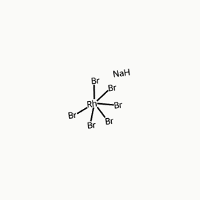 [Br][Rh]([Br])([Br])([Br])([Br])[Br].[NaH]